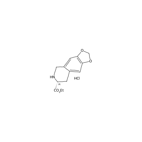 CCOC(=O)[C@H]1Cc2cc3c(cc2CN1)OCO3.Cl